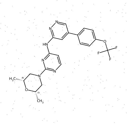 C[C@@H]1CN(c2nccc(Nc3cc(-c4ccc(OC(F)(F)F)cc4)cnn3)n2)C[C@H](C)O1